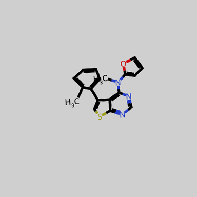 Cc1ccccc1-c1csc2ncnc(N(C)c3ccco3)c12